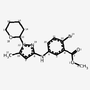 COC(=O)c1cc(Nc2cc(C)n(C3CCCCO3)n2)ccc1Br